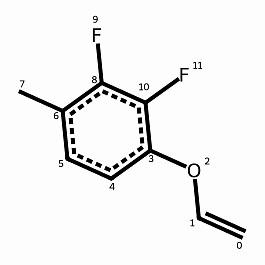 C=COc1ccc(C)c(F)c1F